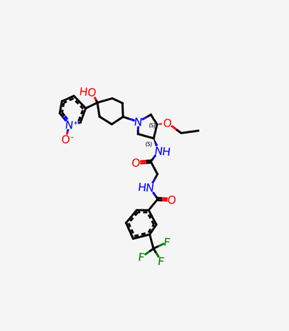 CCO[C@H]1CN(C2CCC(O)(c3ccc[n+]([O-])c3)CC2)C[C@@H]1NC(=O)CNC(=O)c1cccc(C(F)(F)F)c1